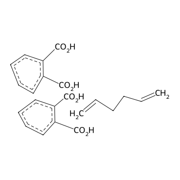 C=CCCC=C.O=C(O)c1ccccc1C(=O)O.O=C(O)c1ccccc1C(=O)O